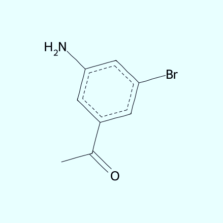 CC(=O)c1cc(N)cc(Br)c1